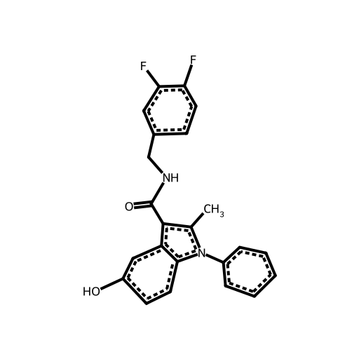 Cc1c(C(=O)NCc2ccc(F)c(F)c2)c2cc(O)ccc2n1-c1ccccc1